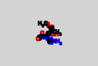 COCc1cc(C(C)(O)c2ccc3c(C(=O)N4CCOCC4)nn(-c4ccnc(N)n4)c3c2)no1